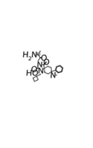 C[C@H](N)C(=O)CN1C(=O)N(CC2(O)CCC2)[C@]2(CC[C@@](c3ccccc3)(N(C)C)CC2)C1=O